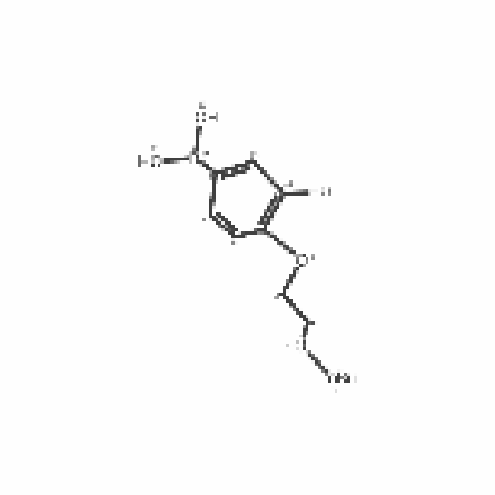 CCCCOCCOc1ccc(B(O)O)cc1F